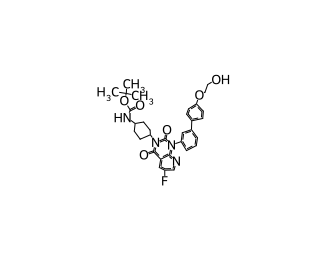 CC(C)(C)OC(=O)NC1CCC(n2c(=O)c3cc(F)cnc3n(-c3cccc(-c4ccc(OCCO)cc4)c3)c2=O)CC1